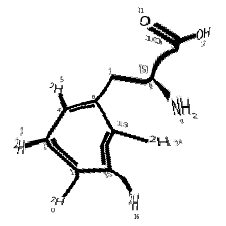 [2H]c1c([2H])c([2H])c(C[C@H](N)C(=O)O)c([2H])c1[2H]